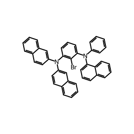 Brc1c(N(c2ccc3ccccc3c2)c2ccc3ccccc3c2)cccc1N(c1ccccc1)c1cccc2ccccc12